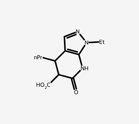 CCCC1c2cnn(CC)c2NC(=O)C1C(=O)O